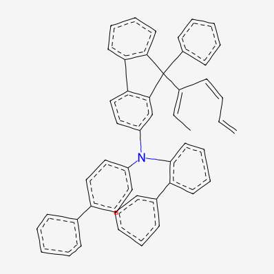 C=C/C=C\C(=C/C)C1(c2ccccc2)c2ccccc2-c2ccc(N(c3ccc(-c4ccccc4)cc3)c3ccccc3-c3ccccc3)cc21